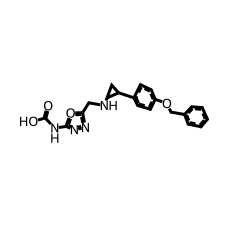 O=C(O)Nc1nnc(CNC2CC2c2ccc(OCc3ccccc3)cc2)o1